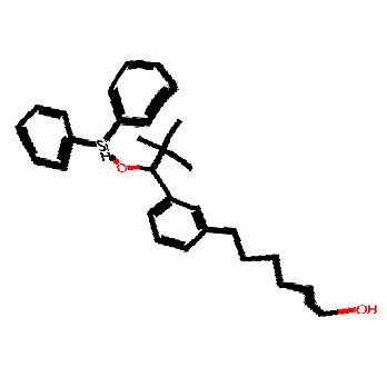 CC(C)(C)C(O[SiH](c1ccccc1)c1ccccc1)c1cccc(CCCCCCO)c1